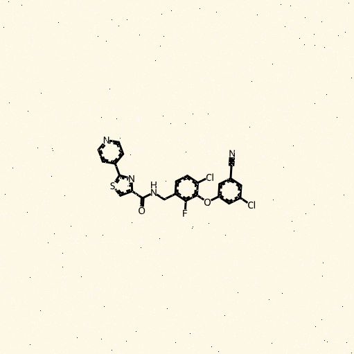 N#Cc1cc(Cl)cc(Oc2c(Cl)ccc(CNC(=O)c3csc(-c4ccncc4)n3)c2F)c1